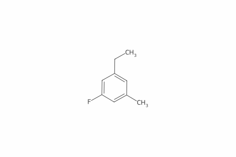 CCc1cc(C)cc(F)c1